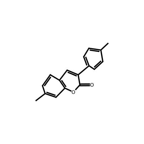 Cc1ccc(-c2cc3ccc(C)cc3oc2=O)cc1